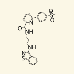 CS(=O)(=O)c1ccc(-c2cccc(C(=O)NCCCNc3nsc4ccccc34)n2)cc1